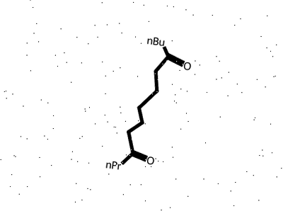 CCCCC(=O)CCCCCC(=O)CCC